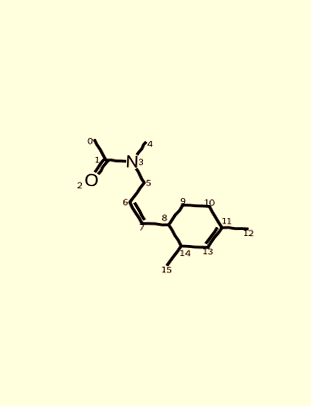 CC(=O)N(C)C/C=C\C1CCC(C)=CC1C